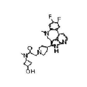 CN1Cc2c(C3=CCN(CC(=O)N(C)C4CC(O)C4)CC3)[nH]c3nccc(c23)-c2cc(F)c(F)cc21